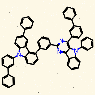 c1ccc(-c2cccc(-c3nc(-c4cccc(-c5cccc6c5c5cc(-c7ccccc7)ccc5n6-c5cccc(-c6ccccc6)c5)c4)nc4c5ccccc5n(-c5ccccc5)c34)c2)cc1